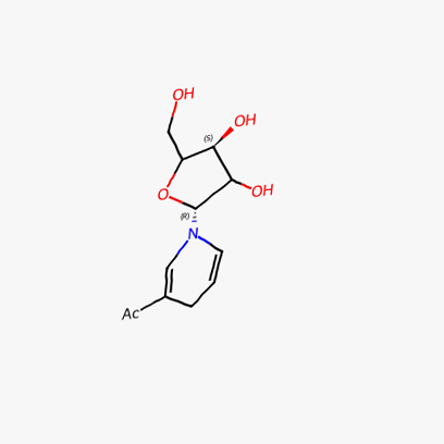 CC(=O)C1=CN([C@@H]2OC(CO)[C@@H](O)C2O)C=CC1